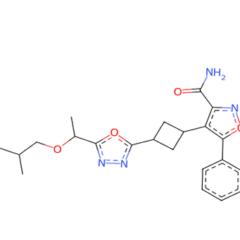 CC(C)COC(C)c1nnc(C2CC(c3c(C(N)=O)noc3-c3ccccc3)C2)o1